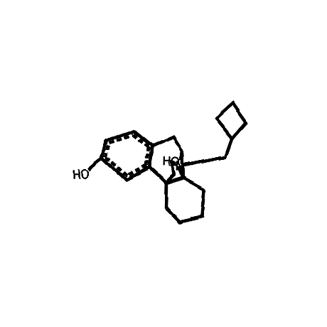 Oc1ccc2c(c1)C13CCCCC1(O)C(C2)N(CC1CCC1)CC3